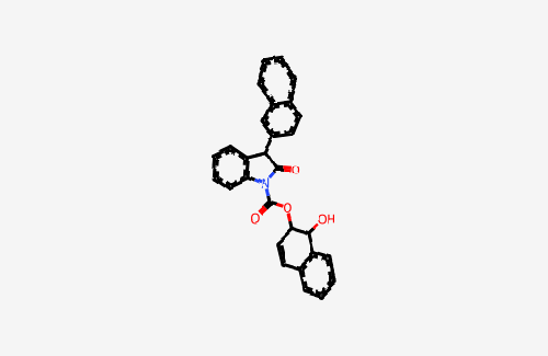 O=C(OC1C=Cc2ccccc2C1O)N1C(=O)C(c2ccc3ccccc3c2)c2ccccc21